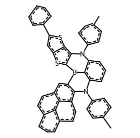 Cc1ccc(N2c3cccc4c3B(c3cc5ccc6cccc7ccc(c32)c5c67)c2sc3cc(-c5ccccc5)sc3c2N4c2ccc(C)cc2)cc1